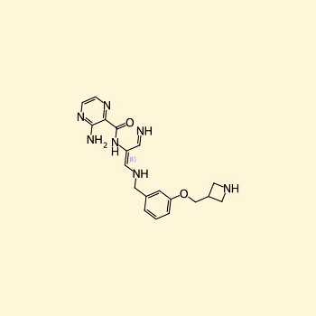 N=C/C(=C\NCc1cccc(OCC2CNC2)c1)NC(=O)c1nccnc1N